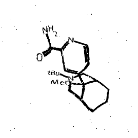 COC1(c2ccnc(C(N)=O)c2)C2CCCC1CN(C(C)(C)C)C2